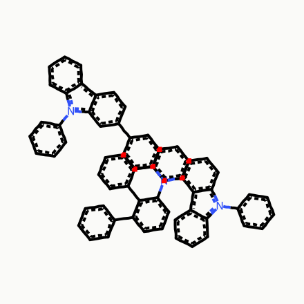 c1ccc(-c2ccccc2-c2c(-c3ccccc3)cccc2N(c2ccc(-c3ccc4c5ccccc5n(-c5ccccc5)c4c3)cc2)c2cccc3c2c2ccccc2n3-c2ccccc2)cc1